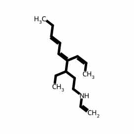 C=CNCCC(CC)C(/C=C\C)=C/C=C/CC